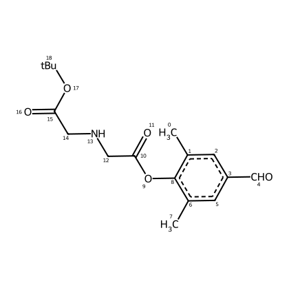 Cc1cc(C=O)cc(C)c1OC(=O)CNCC(=O)OC(C)(C)C